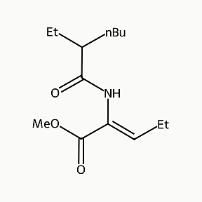 CCC=C(NC(=O)C(CC)CCCC)C(=O)OC